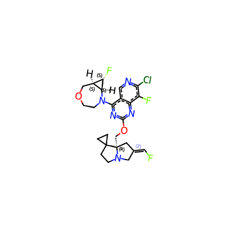 F/C=C1\CN2CCC3(CC3)[C@@]2(COc2nc(N3CCOC[C@H]4[C@H](F)[C@H]43)c3cnc(Cl)c(F)c3n2)C1